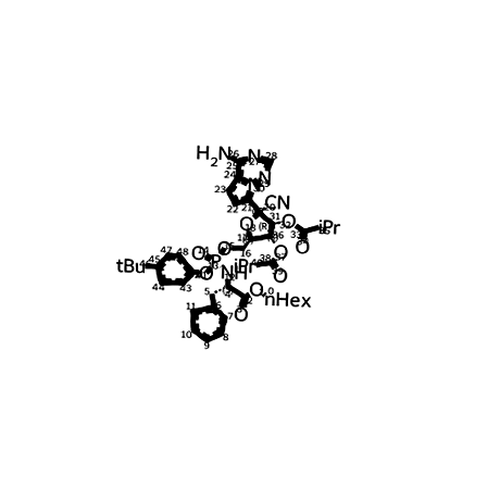 CCCCCCOC(=O)[C@H](Cc1ccccc1)NP(=O)(OC[C@H]1O[C@@](C#N)(c2ccc3c(N)ncnn23)[C@H](OC(=O)C(C)C)[C@@H]1OC(=O)C(C)C)Oc1ccc(C(C)(C)C)cc1